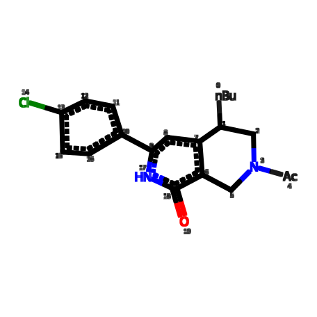 CCCCC1CN(C(C)=O)Cc2c1cc(-c1ccc(Cl)cc1)[nH]c2=O